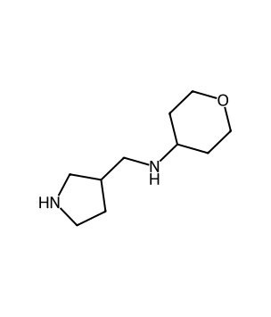 C1CC(CNC2CCOCC2)CN1